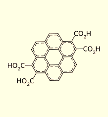 O=C(O)c1c(C(=O)O)c2ccc3ccc4c(C(=O)O)c(C(=O)O)c5ccc6ccc1c1c6c5c4c3c21